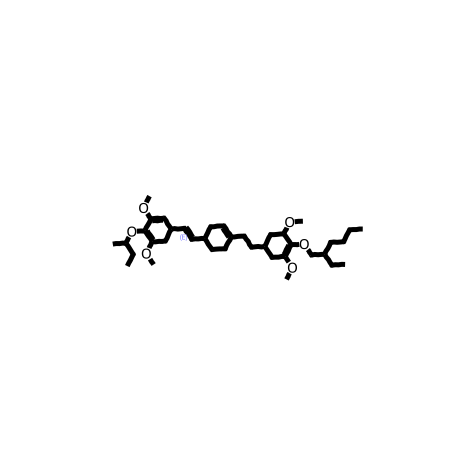 CCCCC(CC)COC1=C(OC)CC(CCC2=CCC(/C=C/C3C=C(OC)C(OC(C)CC)=C(OC)C3)CC2)CC1OC